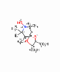 CCC1(C)CC2(OC(C(=O)O)C(C(=O)O)O2)C(C)C(C)(CC)N1O